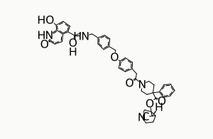 O=C(Cc1ccc(OCc2ccc(CNCC(O)c3ccc(O)c4[nH]c(=O)ccc34)cc2)cc1)N1CCC(C(=O)O[C@H]2CN3CCC2CC3)(c2ccccc2)CC1